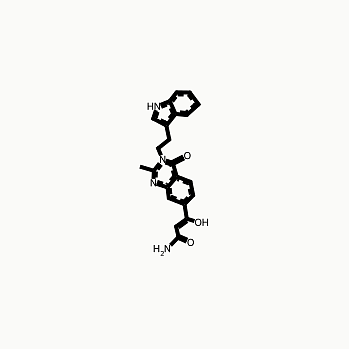 Cc1nc2cc(C(O)=CC(N)=O)ccc2c(=O)n1CCc1c[nH]c2ccccc12